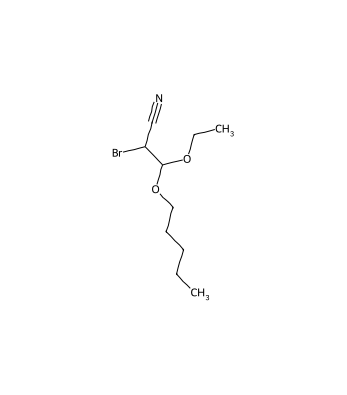 CCCCCOC(OCC)C(Br)C#N